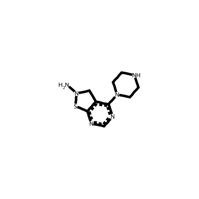 NN1Cc2c(ncnc2N2CCNCC2)S1